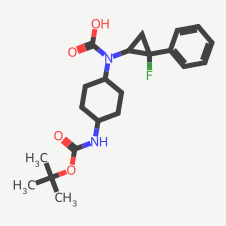 CC(C)(C)OC(=O)NC1CCC(N(C(=O)O)C2CC2(F)c2ccccc2)CC1